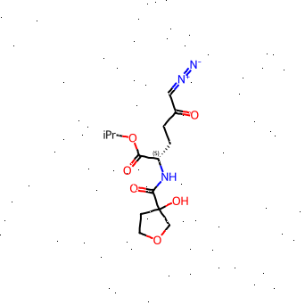 CC(C)OC(=O)[C@H](CCC(=O)C=[N+]=[N-])NC(=O)C1(O)CCOC1